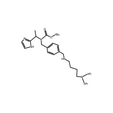 CCCN(CCC)CCCCNCc1ccc(CN(C(=O)OC(C)(C)C)C(C)c2ncc[nH]2)cc1